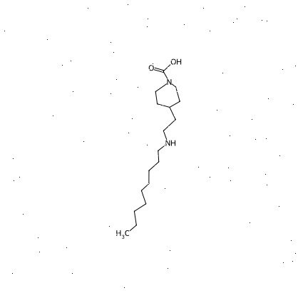 CCCCCCCCCNCCC1CCN(C(=O)O)CC1